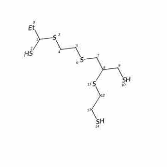 CCC(S)SCCSCC(CS)SCCS